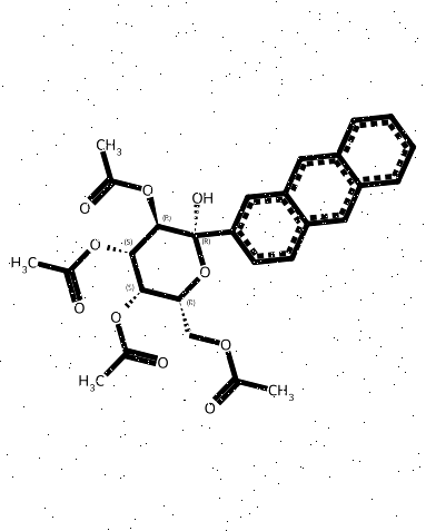 CC(=O)OC[C@H]1O[C@](O)(c2ccc3cc4ccccc4cc3c2)[C@H](OC(C)=O)[C@@H](OC(C)=O)[C@H]1OC(C)=O